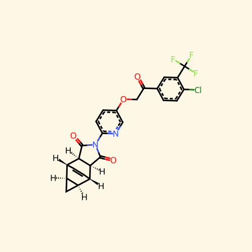 O=C(COc1ccc(N2C(=O)[C@@H]3[C@@H]4C=C[C@@H]([C@H]5C[C@@H]45)[C@@H]3C2=O)nc1)c1ccc(Cl)c(C(F)(F)F)c1